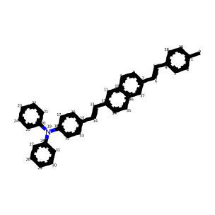 Cc1ccc(/C=C/c2ccc3cc(/C=C/c4ccc(N(c5ccccc5)c5ccccc5)cc4)ccc3c2)cc1